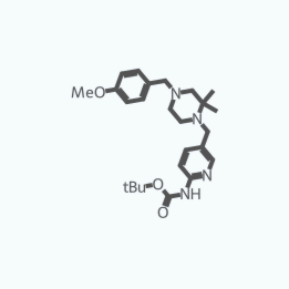 COc1ccc(CN2CCN(Cc3ccc(NC(=O)OC(C)(C)C)nc3)C(C)(C)C2)cc1